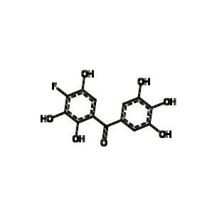 O=C(c1cc(O)c(O)c(O)c1)c1cc(O)c(F)c(O)c1O